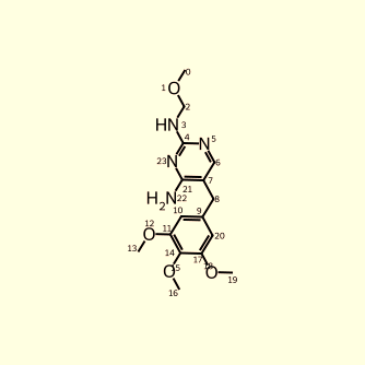 COCNc1ncc(Cc2cc(OC)c(OC)c(OC)c2)c(N)n1